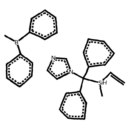 C=C[SiH](C)C(c1ccccc1)(c1ccccc1)n1ccnc1.CB(c1ccccc1)c1ccccc1